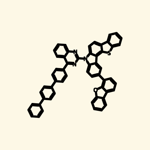 c1ccc(-c2ccc(-c3ccc(-c4nc(-n5c6ccc(-c7cccc8c7oc7ccccc78)cc6c6c7sc8ccccc8c7ccc65)nc5ccccc45)cc3)cc2)cc1